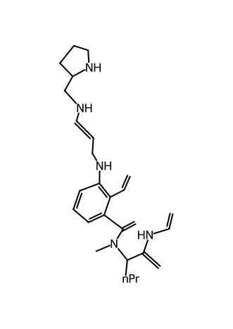 C=CNC(=C)C(CCC)N(C)C(=C)c1cccc(NC/C=C/NCC2CCCN2)c1C=C